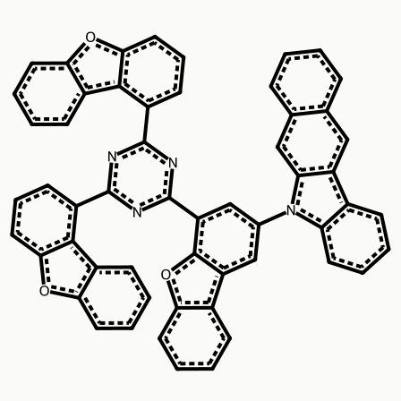 c1ccc2cc3c(cc2c1)c1ccccc1n3-c1cc(-c2nc(-c3cccc4oc5ccccc5c34)nc(-c3cccc4oc5ccccc5c34)n2)c2oc3ccccc3c2c1